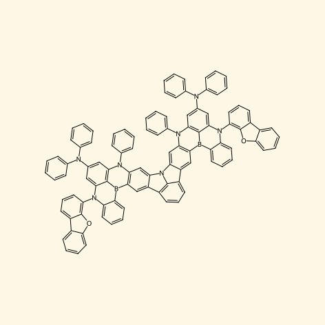 c1ccc(N(c2ccccc2)c2cc3c4c(c2)N(c2cccc5c2oc2ccccc25)c2ccccc2B4c2cc4c5cccc6c7cc8c(cc7n(c4cc2N3c2ccccc2)c56)N(c2ccccc2)c2cc(N(c3ccccc3)c3ccccc3)cc3c2B8c2ccccc2N3c2cccc3c2oc2ccccc23)cc1